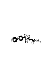 NC(=O)CCC(=O)NC(=O)C1CCN(c2ccncc2)CC1